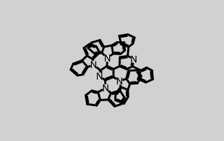 c1ccc(-c2cc(-c3c(-n4c5ccccc5c5ccccc54)c(-n4c5ccccc5c5ccccc54)nc(-n4c5ccccc5c5ccccc54)c3-n3c4ccccc4c4ccccc43)cc(-c3ccccc3)n2)cc1